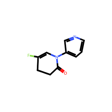 O=C1CCC(F)=CN1c1cccnc1